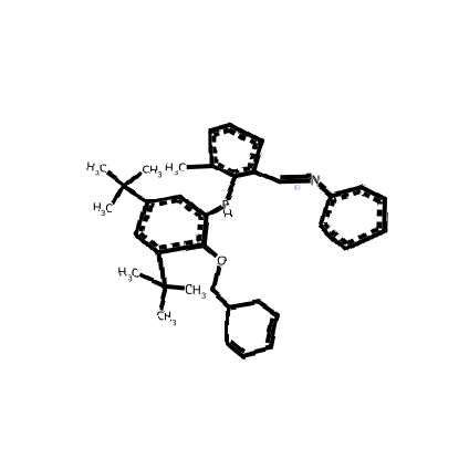 Cc1cccc(/C=N/c2ccccc2)c1Pc1cc(C(C)(C)C)cc(C(C)(C)C)c1OCC1C=CC=CC1